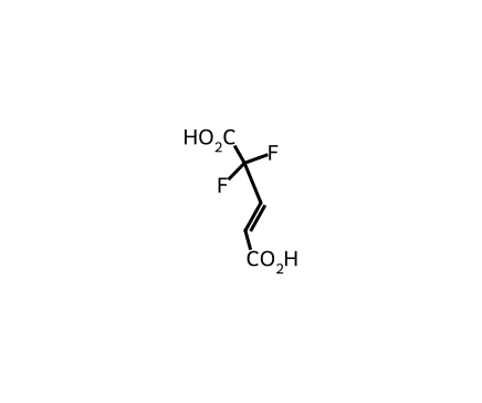 O=C(O)C=CC(F)(F)C(=O)O